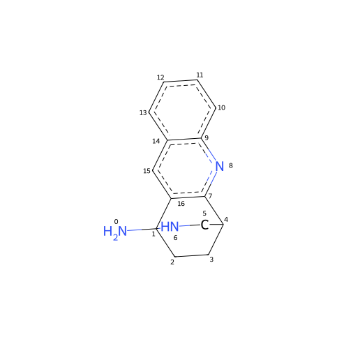 NC12CCC(CN1)c1nc3ccccc3cc12